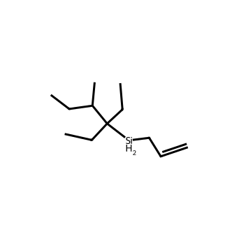 C=CC[SiH2]C(CC)(CC)C(C)CC